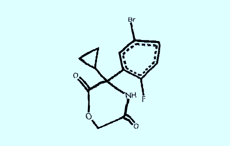 O=C1COC(=O)C(c2cc(Br)ccc2F)(C2CC2)N1